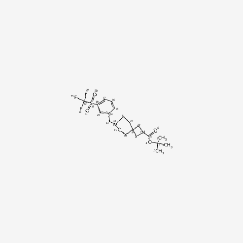 CC(C)(C)OC(=O)N1CC2(CCN(Cc3cccc(S(=O)(=O)C(F)(F)F)c3)CC2)C1